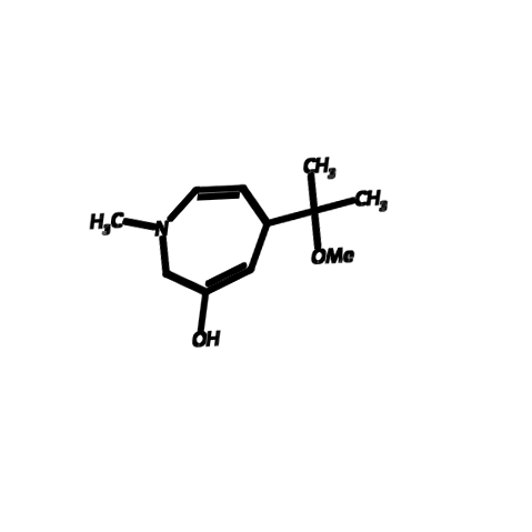 COC(C)(C)C1C=CN(C)CC(O)=C1